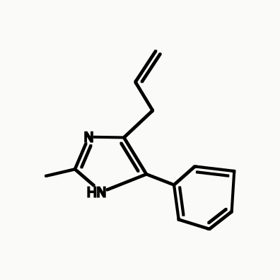 C=CCc1nc(C)[nH]c1-c1ccccc1